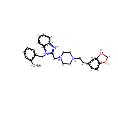 COc1ccccc1Cn1c(CN2CCN(CCc3ccc4c(c3)OCO4)CC2)nc2ccccc21